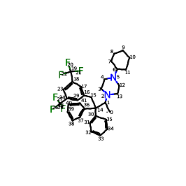 [CH2]C(N1CCN(C2CCCCC2)CC1)C(Cc1cc(C(F)(F)F)cc(C(F)(F)F)c1)(c1ccccc1)c1ccccc1